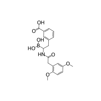 COc1ccc(OC)c(CC(=O)NC(Cc2cccc(C(=O)O)c2)B(O)O)c1